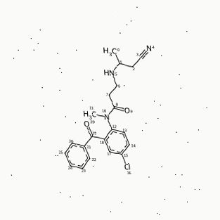 CC(CC#N)NCCC(=O)N(C)c1ccc(Cl)cc1C(=O)c1ccccc1